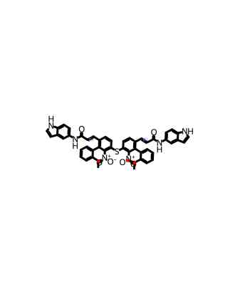 CC(C)c1ccccc1-c1c(/C=C/C(=O)Nc2ccc3[nH]ccc3c2)ccc(Sc2ccc(/C=C/C(=O)Nc3ccc4[nH]ccc4c3)c(-c3ccccc3C(C)C)c2[N+](=O)[O-])c1[N+](=O)[O-]